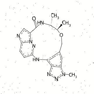 C[C@H]1NC(=O)c2cnc3ccc(nn23)Nc2cc(cc3c2nnn3C)CO[C@@H]1C